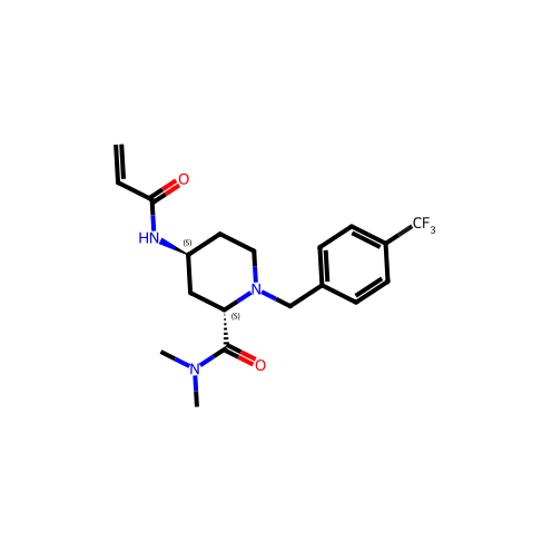 C=CC(=O)N[C@H]1CCN(Cc2ccc(C(F)(F)F)cc2)[C@H](C(=O)N(C)C)C1